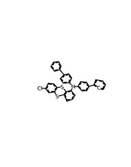 Clc1ccc2c(c1)Sc1cccc(N(c3ccc(-c4ccccc4)cc3)c3ccc(-c4ccccc4)cc3)c1S2